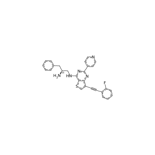 N[C@H](CNc1nc(-c2ccncc2)nc2c(C#Cc3ccccc3F)csc12)Cc1ccccc1